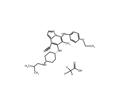 CCOc1ccc(Nc2c(C)c(N[C@H]3CC[C@H](NCC(C)C)CC3)c(C#N)c3ccnn23)cc1.O=C(O)C(F)(F)F